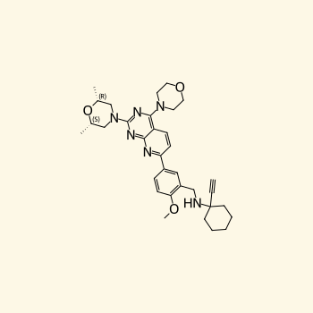 C#CC1(NCc2cc(-c3ccc4c(N5CCOCC5)nc(N5C[C@@H](C)O[C@@H](C)C5)nc4n3)ccc2OC)CCCCC1